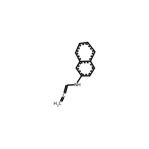 C=C=CNc1ccc2ccccc2c1